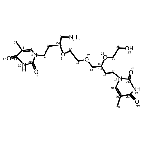 Cc1cn(CC[C@@H](CN)OCCOC[C@H](CCn2cc(C)c(=O)[nH]c2=O)OCCO)c(=O)[nH]c1=O